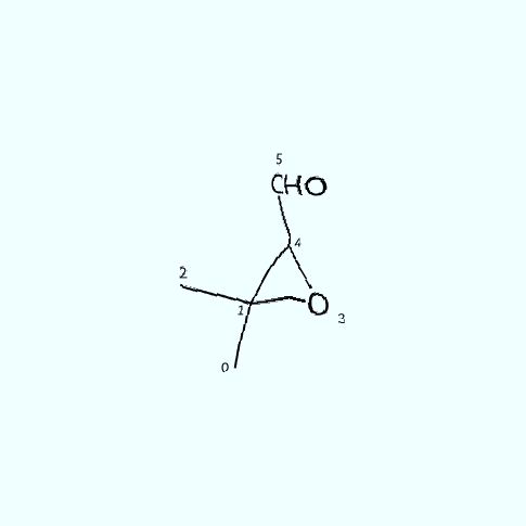 CC1(C)OC1C=O